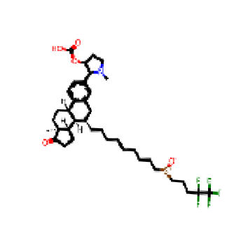 CN1CCC(OC(=O)O)C1c1ccc2c(c1)C[C@@H](CCCCCCCCC[S+]([O-])CCCC(F)(F)C(F)(F)F)[C@@H]1[C@@H]2CC[C@]2(C)C(=O)CC[C@@H]12